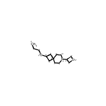 CCCOC1CC2(CCN(C3COC3)CC2)C1